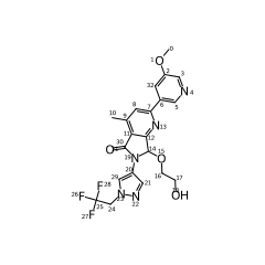 COc1cncc(-c2cc(C)c3c(n2)C(OCCO)N(c2cnn(CC(F)(F)F)c2)C3=O)c1